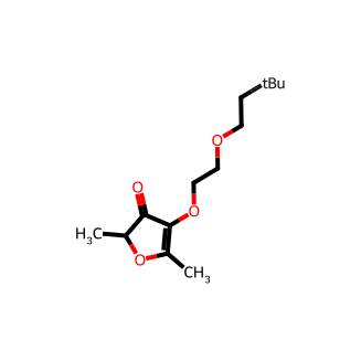 CC1=C(OCCOCCC(C)(C)C)C(=O)C(C)O1